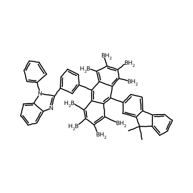 Bc1c(B)c(B)c2c(-c3ccc4c(c3)C(C)(C)c3ccccc3-4)c3c(B)c(B)c(B)c(B)c3c(-c3cccc(-c4nc5ccccc5n4-c4ccccc4)c3)c2c1B